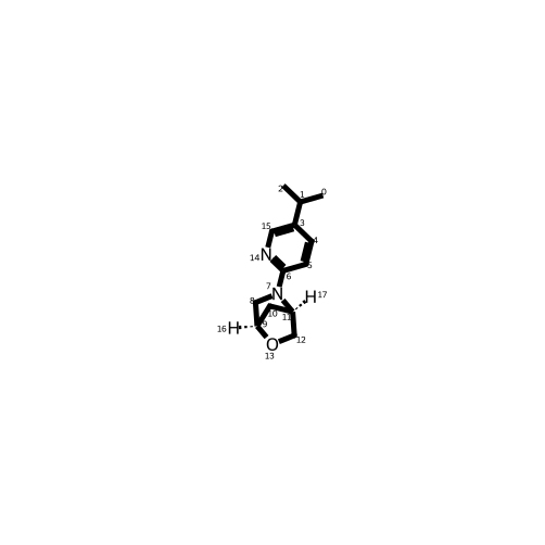 CC(C)c1ccc(N2C[C@H]3C[C@@H]2CO3)nc1